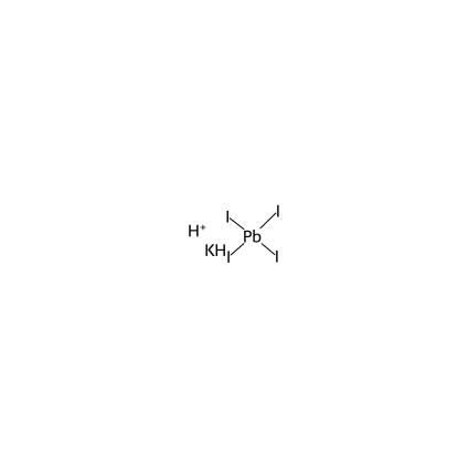 [H+].[I][Pb]([I])([I])[I].[KH]